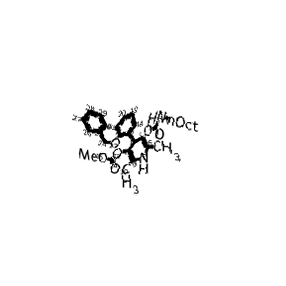 CCCCCCCCNC(=O)OC1=C(C)NC(C)=C(OC(=O)OC)C1c1ccccc1OCc1ccccc1